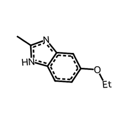 CCOc1ccc2[nH]c(C)nc2c1